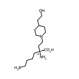 BCCCC[C@@](N)(CCN1CCC(CCO)CC1)C(=O)O